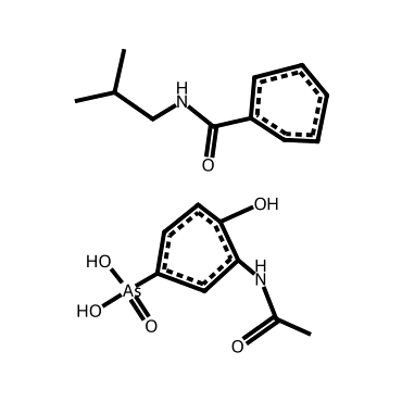 CC(=O)Nc1cc([As](=O)(O)O)ccc1O.CC(C)CNC(=O)c1ccccc1